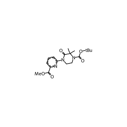 COC(=O)c1cccc(N2CCN(C(=O)OC(C)(C)C)C(C)(C)C2=O)n1